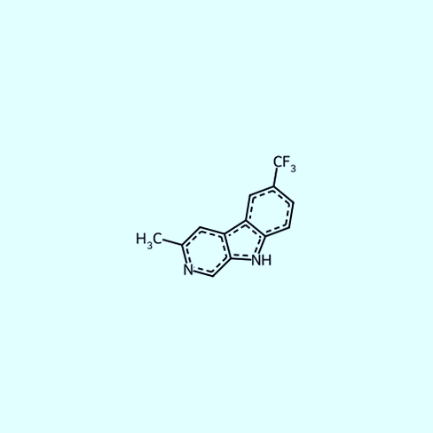 Cc1cc2c(cn1)[nH]c1ccc(C(F)(F)F)cc12